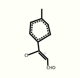 Cc1ccc(/C(Cl)=C/C=O)cc1